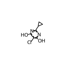 Oc1nc(C2CC2)nc(O)c1Cl